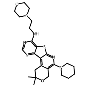 CC1(C)Cc2c(c(N3CCCCC3)nc3sc4c(NCCN5CCOCC5)ncnc4c23)CO1